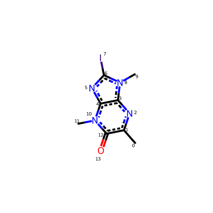 Cc1nc2c(nc(I)n2C)n(C)c1=O